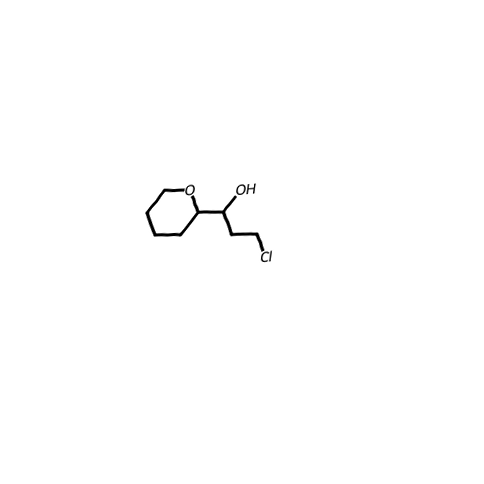 OC(CCCl)C1CCCCO1